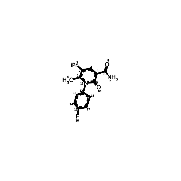 Cc1c(C(C)C)cc(C(N)=O)c(=O)n1-c1ccc(F)cc1